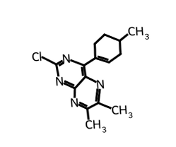 Cc1nc2nc(Cl)nc(C3=CCC(C)CC3)c2nc1C